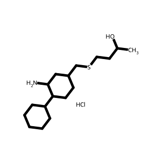 CC(O)CCSCC1CCC(C2CCCCC2)C(N)C1.Cl